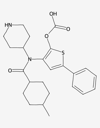 CC1CCC(C(=O)N(c2cc(-c3ccccc3)sc2OC(=O)O)C2CCNCC2)CC1